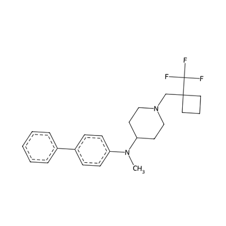 CN(c1ccc(-c2ccccc2)cc1)C1CCN(CC2(C(F)(F)F)CCC2)CC1